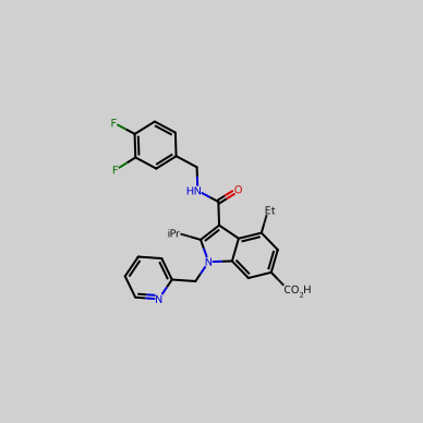 CCc1cc(C(=O)O)cc2c1c(C(=O)NCc1ccc(F)c(F)c1)c(C(C)C)n2Cc1ccccn1